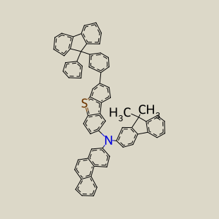 CC1(C)c2ccccc2-c2ccc(N(c3ccc4c(ccc5ccccc54)c3)c3ccc4sc5cc(-c6cccc(C7(c8ccccc8)c8ccccc8-c8ccccc87)c6)ccc5c4c3)cc21